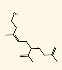 C=C(C)CC[C@H](C/C=C(/C)CCO)C(=C)C